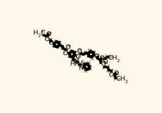 C=CC(=O)OCCCCOCC(COc1ccc(/C=C/C(=O)Oc2ccc(OC(=O)/C=C/c3ccc(OCOC(=O)C=C)cc3)cc2/C=N/Nc2nc3ccccc3s2)cc1)OC(=O)C=C